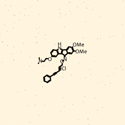 COc1cc2c(cc1OC)-c1[nH]c3ccc(OCCN(C)C)cc3c1C2=NOCC=CC#Cc1ccccc1.Cl